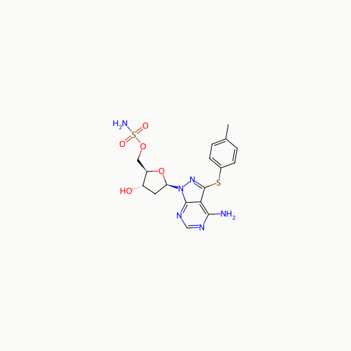 Cc1ccc(Sc2nn([C@H]3C[C@H](O)[C@@H](COS(N)(=O)=O)O3)c3ncnc(N)c23)cc1